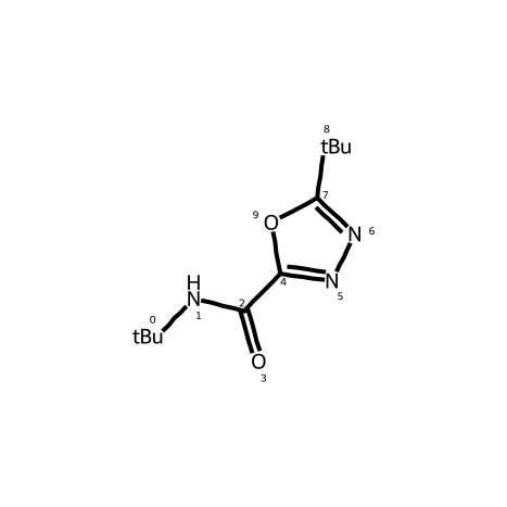 CC(C)(C)NC(=O)c1nnc(C(C)(C)C)o1